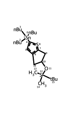 CCC[CH2][Sn]([CH2]CCC)([CH2]CCC)[c]1cc2c(s1)CC(O[Si](C)(C)C(C)(C)C)C2